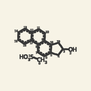 CS(=O)(=O)O.OC1Cc2ccc3c(ccc4ccccc43)c2C1